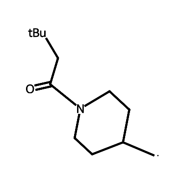 [CH2]C1CCN(C(=O)CC(C)(C)C)CC1